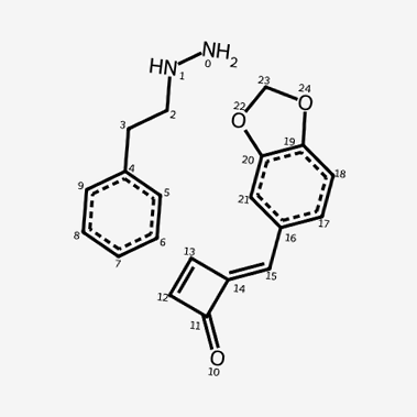 NNCCc1ccccc1.O=C1C=CC1=Cc1ccc2c(c1)OCO2